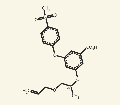 C=CCOC[C@H](C)Oc1cc(Oc2ccc(S(C)(=O)=O)cc2)cc(C(=O)O)c1